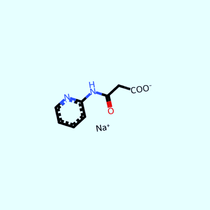 O=C([O-])CC(=O)Nc1ccccn1.[Na+]